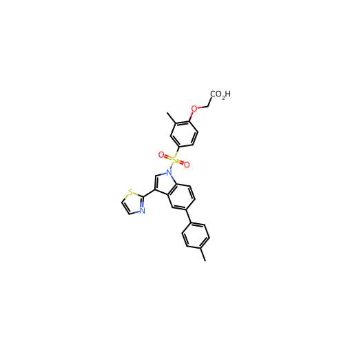 Cc1ccc(-c2ccc3c(c2)c(-c2nccs2)cn3S(=O)(=O)c2ccc(OCC(=O)O)c(C)c2)cc1